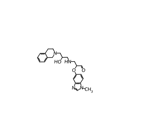 Cn1cnc2cc(OC(C=O)CNCC(O)CN3CCc4ccccc4C3)ccc21